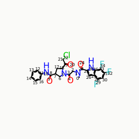 CN(CC(=O)N1CC(C(=O)Nc2ccccc2)CC1C(=O)CCl)C(=O)c1cc2c(F)cc(F)c(F)c2[nH]1